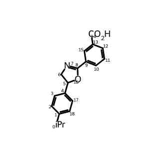 CC(C)c1ccc(C2CN=C(c3cccc(C(=O)O)c3)O2)cc1